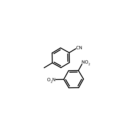 Cc1ccc(C#N)cc1.O=[N+]([O-])c1cccc([N+](=O)[O-])c1